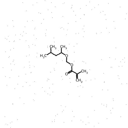 C=C(C)C(=O)OCOC(C)CC(C)C